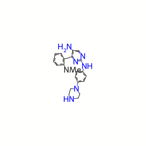 CNc1ccccc1-c1nc(Nc2ccc(N3CCNCC3)cc2)ncc1N